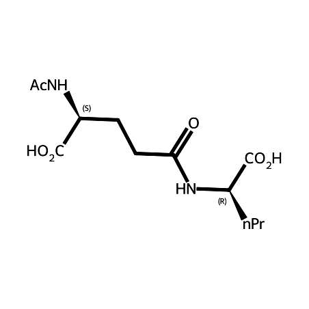 CCC[C@@H](NC(=O)CC[C@H](NC(C)=O)C(=O)O)C(=O)O